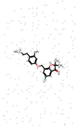 CCCc1cc(OCc2cc(Cl)cc3c2OC(C)(C)C3=O)ccc1CCC(=O)O